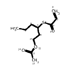 C=CC(=O)SC(CCC)CCOC(C)=O